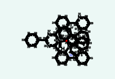 C=Cc1c(/C=C\C)c2ccccc2n1-c1c(-c2ccccn2)cccc1-c1nc(-c2ccccc2)nc(-c2cccc(-c3ccccn3)c2-n2c3ccccc3c3ccccc32)n1